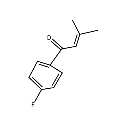 CC(C)=CC(=O)c1ccc(F)cc1